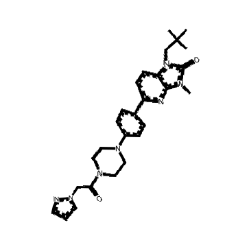 Cn1c(=O)n(CC(C)(C)C)c2ccc(-c3ccc(N4CCN(C(=O)Cn5cccn5)CC4)cc3)nc21